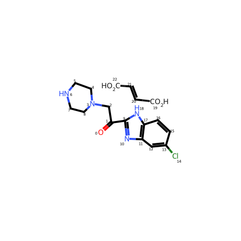 O=C(CN1CCNCC1)c1nc2cc(Cl)ccc2[nH]1.O=C(O)C=CC(=O)O